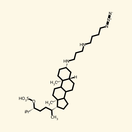 CC(CC[C@@H](OS(=O)(=O)O)C(C)C)[C@H]1CCC2C3CC[C@H]4C[C@@H](NCCCNCCCCN=[N+]=[N-])CC[C@]4(C)C3CC[C@@]21C